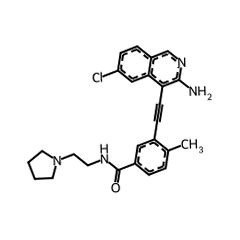 Cc1ccc(C(=O)NCCN2CCCC2)cc1C#Cc1c(N)ncc2ccc(Cl)cc12